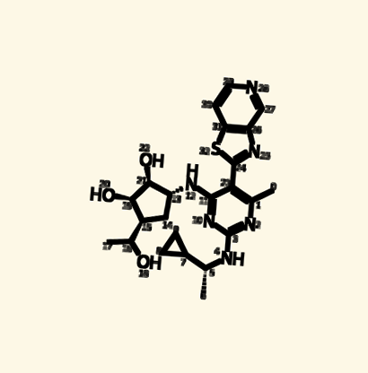 Cc1nc(N[C@H](C)C2CC2)nc(N[C@@H]2C[C@@H](C(C)O)[C@@H](O)[C@H]2O)c1-c1nc2cnccc2s1